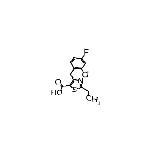 CCc1nc(Cc2ccc(F)cc2Cl)c(C(=O)O)s1